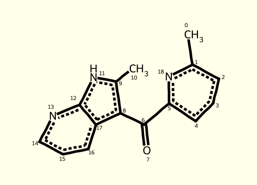 Cc1cccc(C(=O)c2c(C)[nH]c3ncccc23)n1